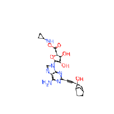 Nc1nc(C#CC2(O)CC3CCC2C3)nc2c1ncn2C1OC(C(=O)ONC2CC2)C(O)C1O